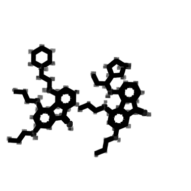 CCCOc1cc(OCCC)c2c(c1)C(=O)c1cccc(OC(CC)C3CCNC3)c1-2.CCCOc1cc(OCCC)c2c(c1)C(=O)c1cccc(OCCN3CCCCC3)c1-2